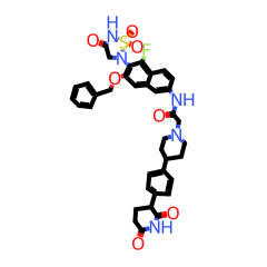 O=C1CCC(c2ccc(C3CCN(CC(=O)Nc4ccc5c(F)c(N6CC(=O)NS6(=O)=O)c(OCc6ccccc6)cc5c4)CC3)cc2)C(=O)N1